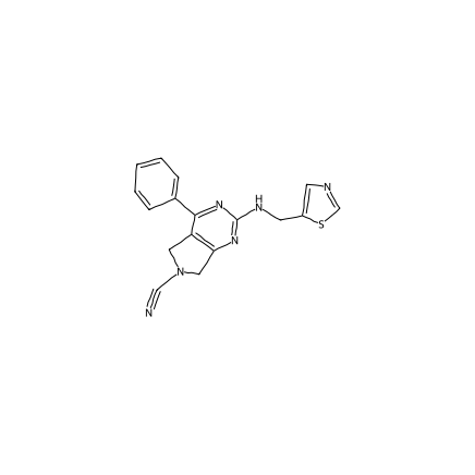 N#CN1Cc2nc(NCc3cncs3)nc(-c3ccccc3)c2C1